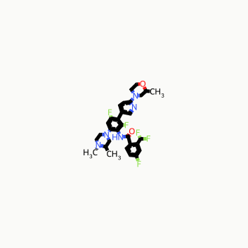 CC1CN(c2ccc(-c3c(F)cc(N4CCN(C)C(C)C4)c(NC(=O)c4ccc(F)cc4C(F)F)c3F)cn2)CCO1